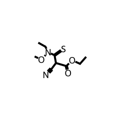 CCOC(=O)C(C#N)C(=S)N(CC)OC